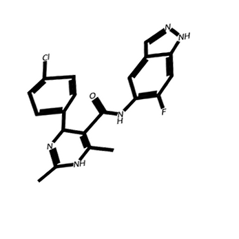 CC1=NC(c2ccc(Cl)cc2)C(C(=O)Nc2cc3cn[nH]c3cc2F)=C(C)N1